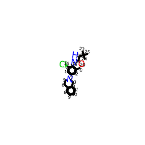 Cc1cc(N2CCc3ccccc3C2)cc(Cl)c1NC(=O)CC(C)(C)C